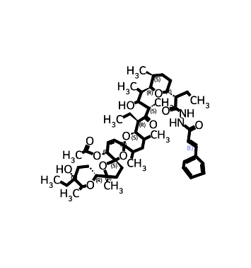 CCC(C(=O)NNC(=O)/C=C/c1ccccc1)[C@H]1CC[C@H](C)[C@H](C(C)C(O)[C@H](C)C(=O)[C@H](CC)[C@H]2O[C@]3(C=C[C@@H](OC(C)=O)[C@]4(CC[C@@](C)([C@H]5CC[C@](O)(CC)C(C)O5)O4)O3)C(C)CC2C)O1